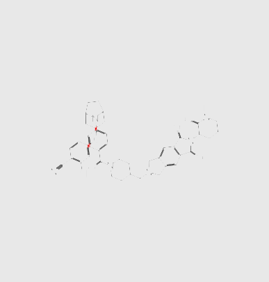 N#Cc1ccc(OC2CC3CCC(C2)N3c2ccc(C(=O)N3CCC(CN4Cc5cc6c(cc5C4)C(=O)N([C@@H]4CCCNC4=O)C6=O)CC3)cc2)cc1Cl